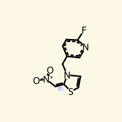 O=[N+]([O-])/C=C1/SC=CN1Cc1ccc(F)nc1